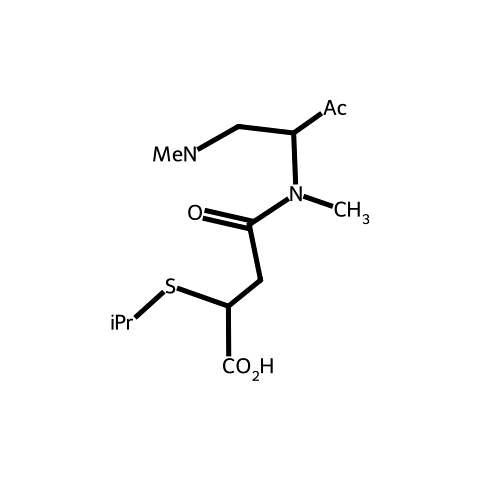 CNCC(C(C)=O)N(C)C(=O)CC(SC(C)C)C(=O)O